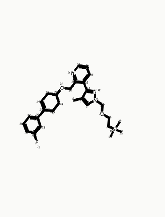 Cc1cn(COCC[Si](C)(C)C)nc1-c1cccnc1COC1CC=C(c2cccc(F)c2)CC1